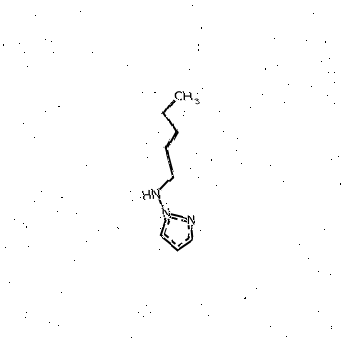 CCCCCNn1cccn1